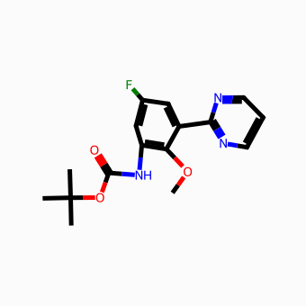 COc1c(NC(=O)OC(C)(C)C)cc(F)cc1-c1ncccn1